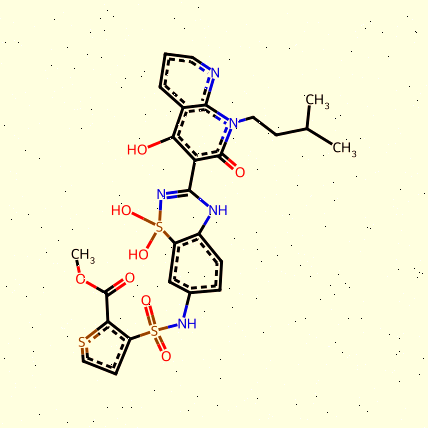 COC(=O)c1sccc1S(=O)(=O)Nc1ccc2c(c1)S(O)(O)N=C(c1c(O)c3cccnc3n(CCC(C)C)c1=O)N2